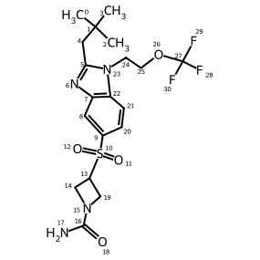 CC(C)(C)Cc1nc2cc(S(=O)(=O)C3CN(C(N)=O)C3)ccc2n1CCOC(F)(F)F